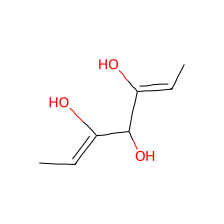 CC=C(O)C(O)C(O)=CC